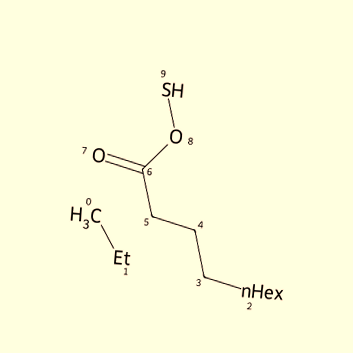 CCC.CCCCCCCCCC(=O)OS